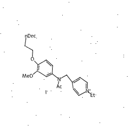 CCCCCCCCCCCCOc1ccc(N(Cc2cc[n+](CC)cc2)C(C)=O)cc1OC.[I-]